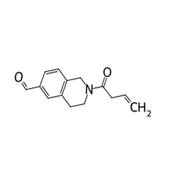 C=CCC(=O)N1CCc2cc(C=O)ccc2C1